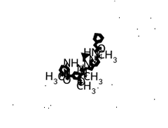 COc1cc(C(=O)N2C[C@H](N)CCN2C)cc2nc(-c3cc4ccc([C@@H](C)NC(=O)Cc5ccccc5)nc4n3CC3CC3)n(C)c12